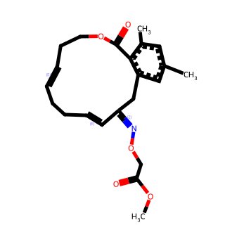 COC(=O)CO/N=C1\C=C\CC/C=C/CCOC(=O)c2c(C)cc(C)cc2C1